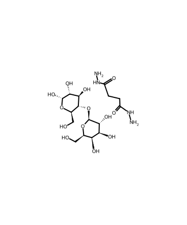 NNC(=O)CCC(=O)NN.OC[C@H]1O[C@@H](O[C@H]2[C@H](O)[C@@H](O)[C@@H](O)O[C@@H]2CO)[C@H](O)[C@@H](O)[C@H]1O